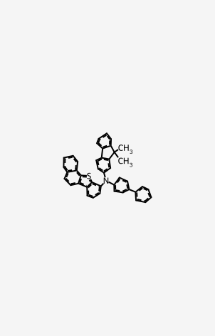 CC1(C)c2ccccc2-c2ccc(N(c3ccc(-c4ccccc4)cc3)c3cccc4c3sc3c5ccccc5ccc43)cc21